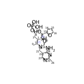 C/C(=C(CCOP(=O)(O)O)/[SH]=C(\O)c1ccco1)N(C=O)Cc1cnc(C)nc1N